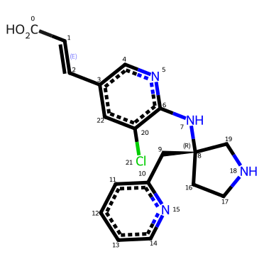 O=C(O)/C=C/c1cnc(N[C@@]2(Cc3ccccn3)CCNC2)c(Cl)c1